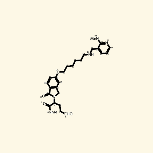 CNC(=O)C(CCC=O)N1Cc2cc(OCCCCCCNCc3cccnc3NC)ccc2C1=O